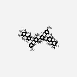 [2H]c1c([2H])c([2H])c(-c2c([2H])c([2H])c(N(c3ccc(C(C)(C)C)cc3)c3c([2H])c([2H])c(-c4c([2H])c([2H])c(N(c5ccc(C(C)(C)C)cc5)c5c([2H])c([2H])c(-c6c([2H])c([2H])c([2H])c([2H])c6[2H])c([2H])c5[2H])c([2H])c4[2H])c([2H])c3[2H])c([2H])c2[2H])c([2H])c1[2H]